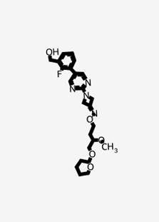 COC(CCON=C1CN(c2ncc(-c3cccc(CO)c3F)cn2)C1)COC1CCCCO1